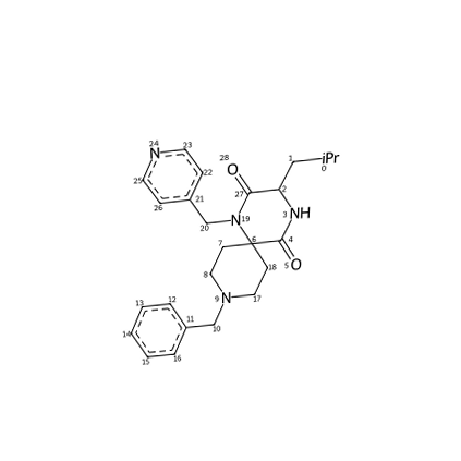 CC(C)CC1NC(=O)C2(CCN(Cc3ccccc3)CC2)N(Cc2ccncc2)C1=O